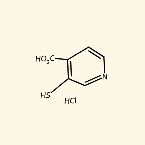 Cl.O=C(O)c1ccncc1S